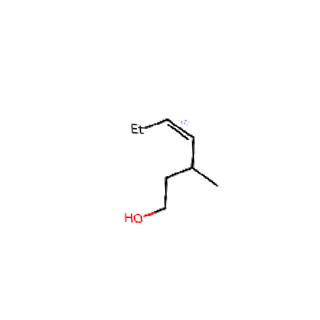 CC/C=C\C(C)CCO